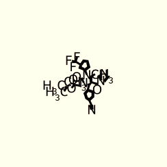 CC1=C(C(=O)n2ccnc2)C(c2ccc(C#N)cc2)N(CC(=O)OC(C)(C)C)C(=O)N1c1cccc(C(F)(F)F)c1